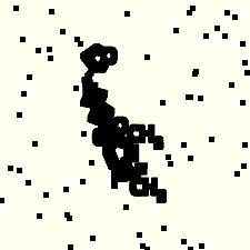 Cc1nc(C(C)(F)F)ccc1S(=O)(=O)N1CC2(CN(C[C@@H]3CCOC3)C2)C1